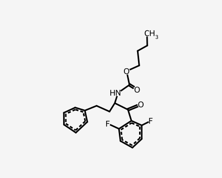 CCCCOC(=O)NC(CCc1ccccc1)C(=O)c1c(F)cccc1F